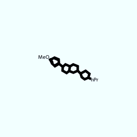 CCCC1CCC(C2CCC3CC(c4ccc(OC)cc4)CCC3C2)CC1